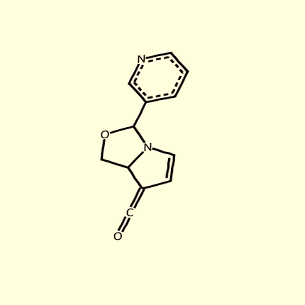 O=C=C1C=CN2C1COC2c1cccnc1